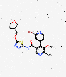 COc1c(C)ncc(C(=O)Nc2nnc(OC[C@H]3CCOC3)s2)c1-c1ccnc(Br)c1